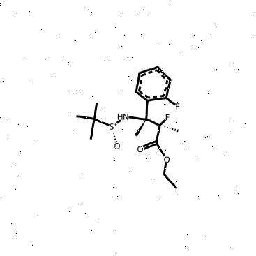 CCOC(=O)[C@](C)(F)[C@](C)(N[S@+]([O-])C(C)(C)C)c1ccccc1F